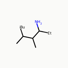 CCC(C)C(C)C(C)C(N)CC